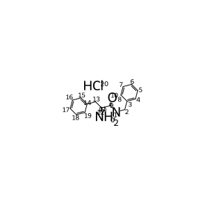 CN(Cc1ccccc1)C(=O)[C@@H](N)Cc1ccccc1.Cl